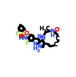 CC1CCn2nc(-c3ccc(NS(=O)(=O)c4ccccc4F)c(F)c3)c3c(N)ncc(c32)/C=C/CCCCCC(=O)N1